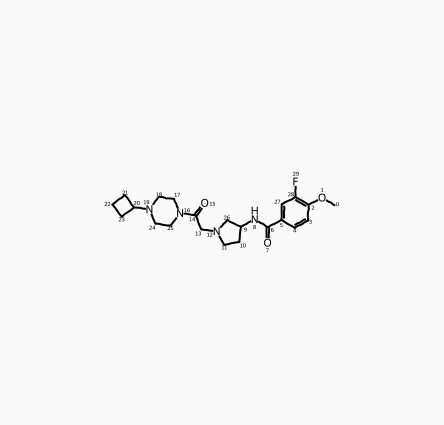 COc1ccc(C(=O)NC2CCN(CC(=O)N3CCN(C4CCC4)CC3)C2)cc1F